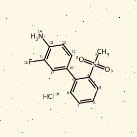 CS(=O)(=O)c1ccccc1-c1ccc(N)c(F)c1.Cl